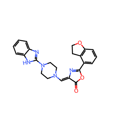 O=C1OC(c2cccc3c2CCO3)=NC1=CN1CCN(c2nc3ccccc3[nH]2)CC1